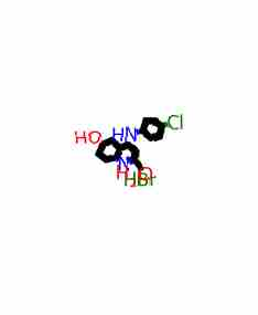 Br.Cc1cc(Nc2ccc(Cl)cc2)c2cc(O)ccc2n1.O